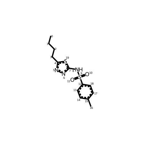 CCCCc1nnc(NS(=O)(=O)c2ccc(C)cc2)s1